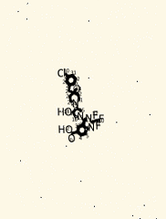 O=C(O)c1ccc2nc(C(F)(F)F)nc(N3CC(O)C(N4CCC5(CC4)Cc4cc(Cl)ccc4O5)C3)c2c1